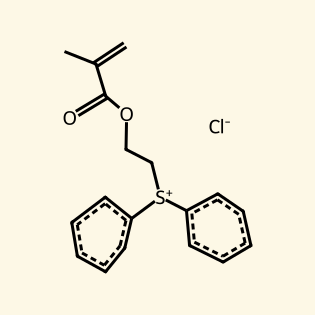 C=C(C)C(=O)OCC[S+](c1ccccc1)c1ccccc1.[Cl-]